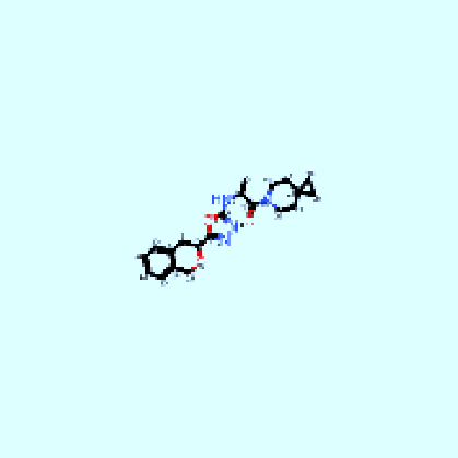 CC(Nc1nnc(C2Cc3ccccc3CO2)o1)C(=O)N1CCC2(CC1)CC2